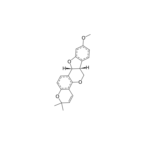 COc1ccc2c(c1)O[C@H]1c3ccc4c(c3OC[C@@H]21)C=CC(C)(C)O4